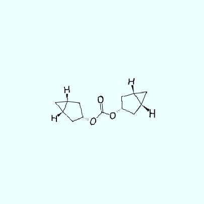 O=C(O[C@@H]1C[C@@H]2C[C@@H]2C1)O[C@@H]1C[C@@H]2C[C@@H]2C1